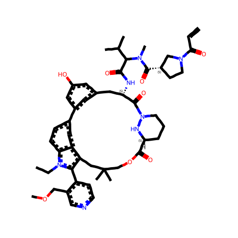 C=CC(=O)N1CC[C@H](C(=O)N(C)C(C(=O)N[C@H]2Cc3cc(O)cc(c3)-c3ccc4c(c3)c(c(-c3ccncc3COC)n4CC)CC(C)(C)COC(=O)[C@@H]3CCCN(N3)C2=O)C(C)C)C1